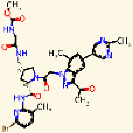 COC(=O)NCC(=O)NC[C@H]1C[C@@H](C(=O)Nc2nc(Br)ccc2C)N(C(=O)Cn2nc(C(C)=O)c3cc(-c4cnc(C)nc4)cc(C)c32)C1